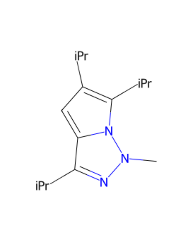 CC(C)c1cc2c(C(C)C)nn(C)n2c1C(C)C